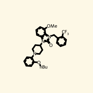 CCCCOc1ccccc1N1CCC(n2c(=O)n(Cc3ccccc3C(F)(F)F)c3c(OC)cccc32)CC1